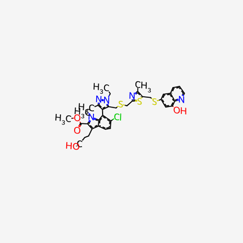 CCn1nc(C)c(-c2c(Cl)ccc3c(CCCO)c(C(=O)OC)n(C)c23)c1CSCc1nc(C)c(CSc2cc(O)c3ncccc3c2)s1